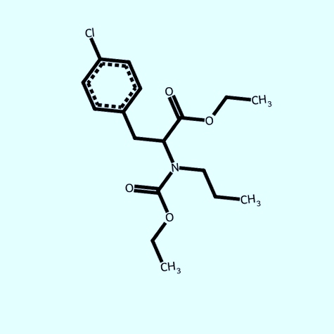 CCCN(C(=O)OCC)C(Cc1ccc(Cl)cc1)C(=O)OCC